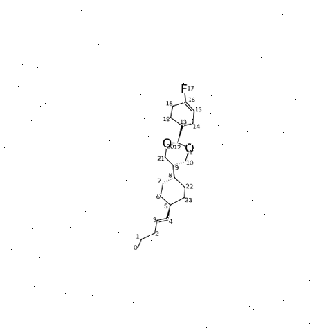 CCC/C=C/[C@H]1CC[C@H]([C@H]2CO[C@H](C3CC=C(F)CC3)OC2)CC1